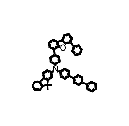 CC1(C)C2=C(CCC=C2)c2ccc(N(c3ccc(-c4ccc(-c5ccccc5)cc4)cc3)c3ccc(-c4cccc5c4oc4c(-c6ccccc6)cccc45)cc3)cc21